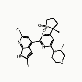 Cc1cc2c(-c3nc(N4CCOC[C@H]4C)cc([C@@]4(C)CCCS4(=O)=O)n3)cc(Cl)nc2[nH]1